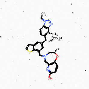 CC[C@@H]1CN(Cc2cc([C@@H](CC(=O)O)c3ccc4c(nnn4CC(F)(F)F)c3C)cc3ccsc23)Cc2nc(O)ccc2O1